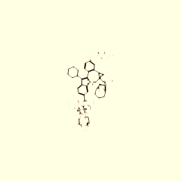 COc1ccc2c(c1)C1CC1(C(=O)N1C3CCCC1CC3)Cn1c-2c(C2CCCCC2)c2ccc(C(=O)NS(=O)(=O)N3C[C@@H](C)O[C@@H](C)C3)cc21